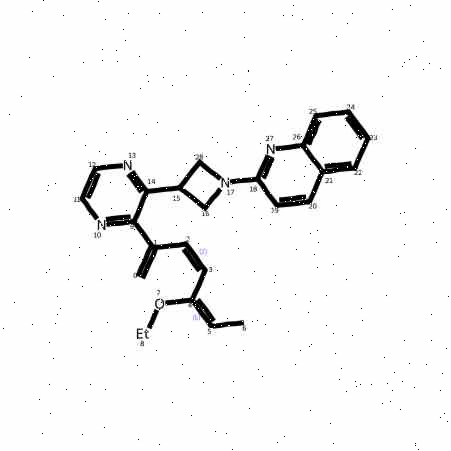 C=C(/C=C\C(=C/C)OCC)c1nccnc1C1CN(c2ccc3ccccc3n2)C1